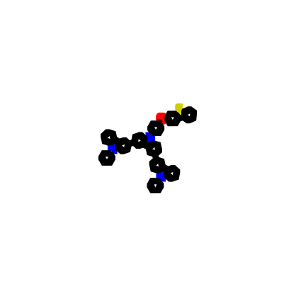 c1ccc(-n2c3ccccc3c3cc(-c4ccc5c(c4)c4cc(-c6ccc7c(c6)c6ccccc6n7-c6ccccc6)ccc4n5-c4ccc(Oc5ccc6c(c5)sc5ccccc56)cc4)ccc32)cc1